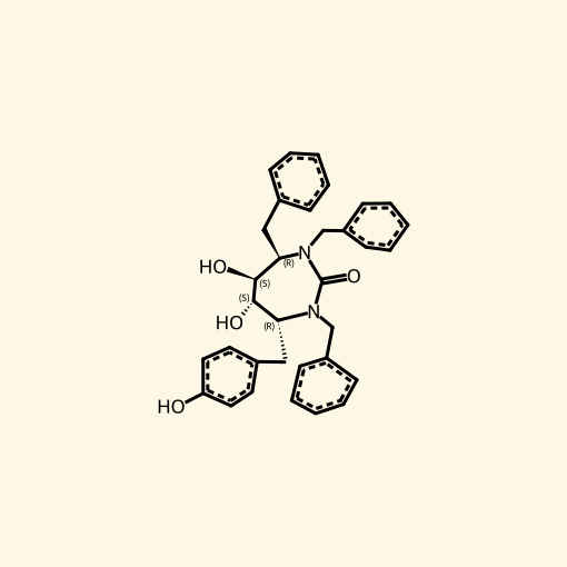 O=C1N(Cc2ccccc2)[C@H](Cc2ccccc2)[C@H](O)[C@@H](O)[C@@H](Cc2ccc(O)cc2)N1Cc1ccccc1